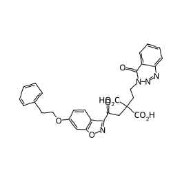 O=C(CC(CCn1nnc2ccccc2c1=O)(C(=O)O)C(=O)O)c1noc2cc(OCCc3ccccc3)ccc12